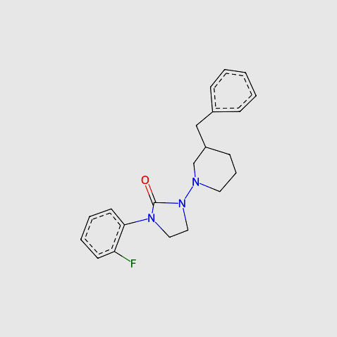 O=C1N(c2ccccc2F)CCN1N1CCCC(Cc2ccccc2)C1